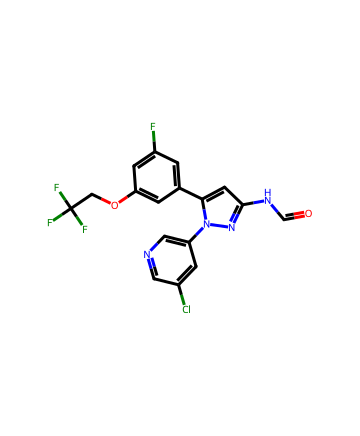 O=CNc1cc(-c2cc(F)cc(OCC(F)(F)F)c2)n(-c2cncc(Cl)c2)n1